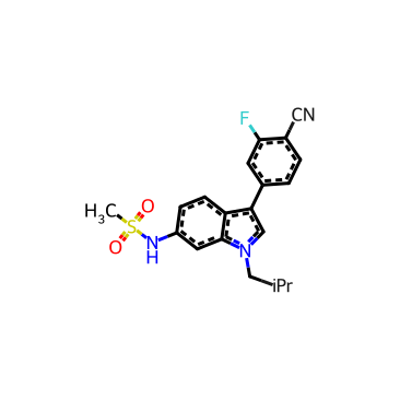 CC(C)Cn1cc(-c2ccc(C#N)c(F)c2)c2ccc(NS(C)(=O)=O)cc21